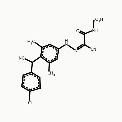 Cc1cc(NN=C(C#N)C(=O)NC(=O)O)cc(C)c1C(C#N)c1ccc(Cl)cc1